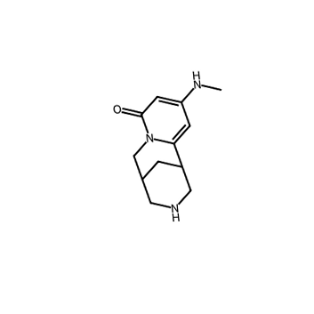 CNc1cc2n(c(=O)c1)CC1CNCC2C1